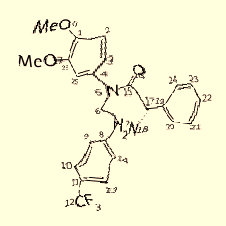 COc1ccc(N(CCc2ccc(C(F)(F)F)cc2)C(=O)[C@@H](N)c2ccccc2)cc1OC